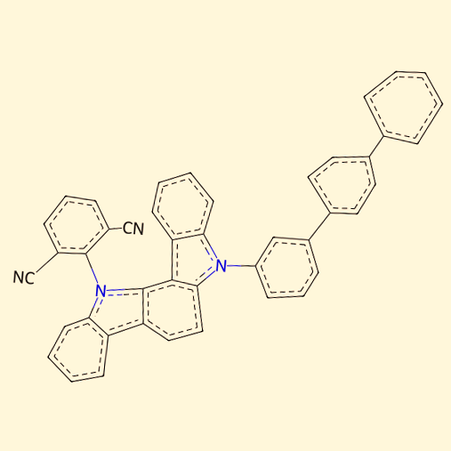 N#Cc1cccc(C#N)c1-n1c2ccccc2c2ccc3c(c4ccccc4n3-c3cccc(-c4ccc(-c5ccccc5)cc4)c3)c21